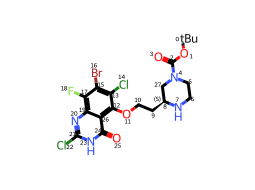 CC(C)(C)OC(=O)N1CCN[C@@H](CCOc2c(Cl)c(Br)c(F)c3nc(Cl)[nH]c(=O)c23)C1